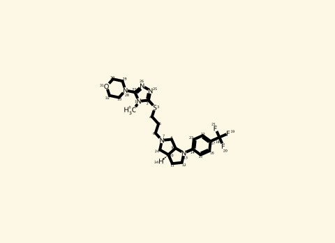 Cn1c(SCCCN2CC3[C@@H](CCN3c3ccc(C(F)(F)F)cc3)C2)nnc1N1CCOCC1